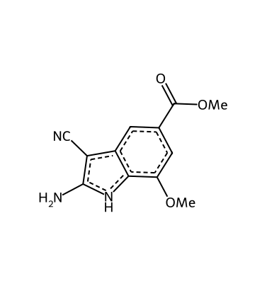 COC(=O)c1cc(OC)c2[nH]c(N)c(C#N)c2c1